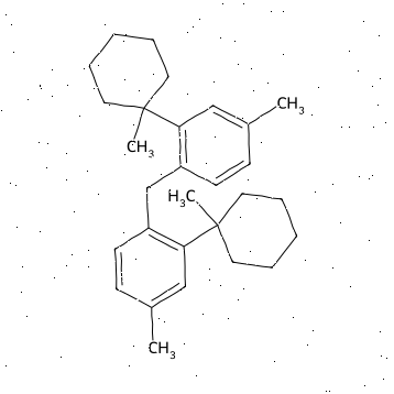 Cc1ccc(Cc2ccc(C)cc2C2(C)CCCCC2)c(C2(C)CCCCC2)c1